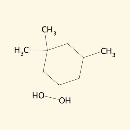 CC1CCCC(C)(C)C1.OO